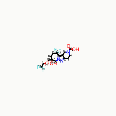 O=C(O)N1CCc2nn3c(c2C1)C(F)(F)CCC(O)(COCC(F)F)C3